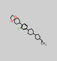 C=CC1CCC(C2CCC(c3ccc(C4CCC5(CC4)OCCO5)c(F)c3)CC2)CC1